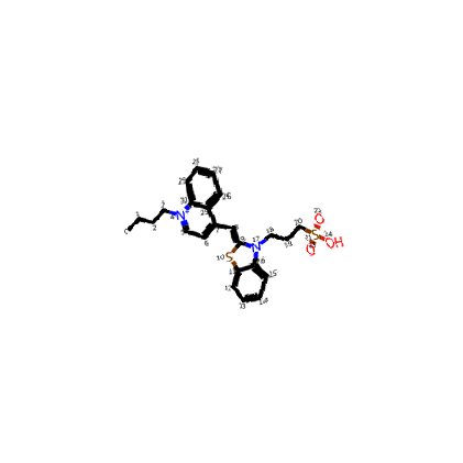 CCCC[n+]1ccc(/C=C2\Sc3ccccc3N2CCCS(=O)(=O)O)c2ccccc21